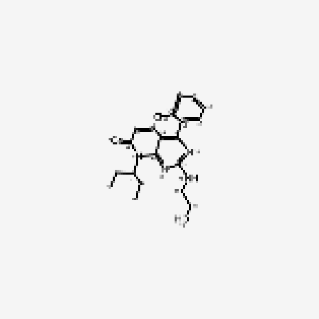 CCC(CC)n1c(=O)ccc2c(-c3ccccc3Cl)nc(NCCO)nc21